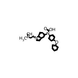 CN(C)CCn1ccc2cc(N(C(=O)O)c3ccc(Oc4ccccc4)cc3)ccc21